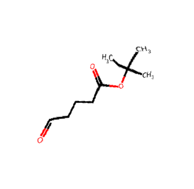 CC(C)(C)OC(=O)CCCC=O